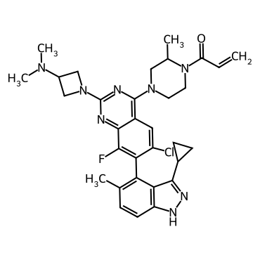 C=CC(=O)N1CCN(c2nc(N3CC(N(C)C)C3)nc3c(F)c(-c4c(C)ccc5[nH]nc(C6CC6)c45)c(Cl)cc23)CC1C